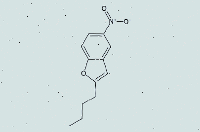 CCCCc1[c]c2cc([N+](=O)[O-])ccc2o1